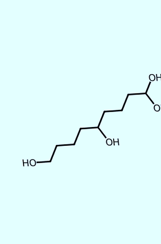 OCCCCC(O)CCCC(O)O